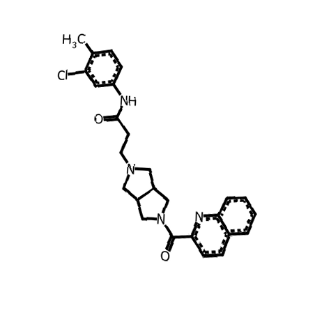 Cc1ccc(NC(=O)CCN2CC3CN(C(=O)c4ccc5ccccc5n4)CC3C2)cc1Cl